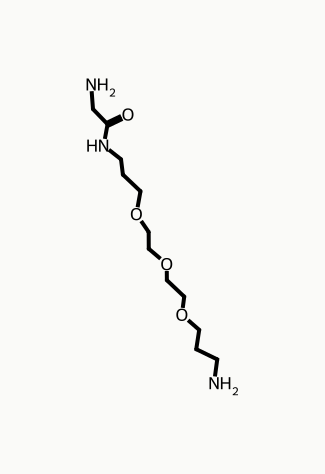 NCCCOCCOCCOCCCNC(=O)CN